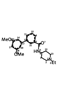 CCN1CCC(NC(=O)c2cccc(-c3cc(OC)cc(OC)c3)c2)CC1